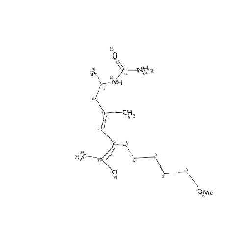 COCCCCCC(/C=C(\C)CC(NC(N)=O)C(C)C)=C(/C)Cl